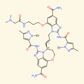 CCn1nc(C)cc1C(=O)Nc1nc2cc(C(N)=O)cc(OCCCNC(=O)CN(C)C)c2n1C/C=C/[C@H]1CCOc2cc(C(N)=O)cc3nc(NC(=O)c4cc(C)nn4CC)n1c23